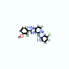 COc1cccc(-c2nc3c(Nc4cccc(F)c4)nccc3[nH]2)c1F